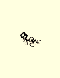 CC(=O)CC(=O)OC(=O)c1cc2ccccc2n1C